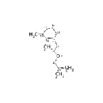 C=C(C)COCCC1=C(C)C(C)CCC1